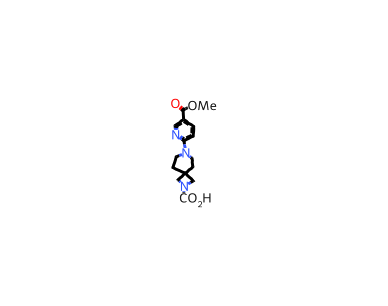 COC(=O)c1ccc(N2CCC3(CC2)CN(C(=O)O)C3)nc1